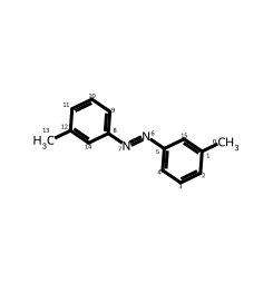 Cc1cccc(/N=N/c2cccc(C)c2)c1